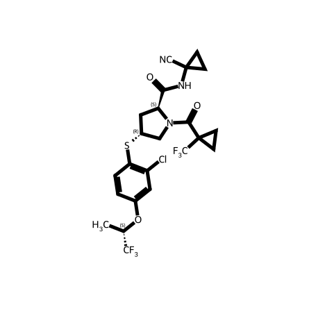 C[C@H](Oc1ccc(S[C@@H]2C[C@@H](C(=O)NC3(C#N)CC3)N(C(=O)C3(C(F)(F)F)CC3)C2)c(Cl)c1)C(F)(F)F